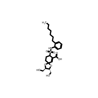 CCCCCCCc1ccccc1NS(=O)(=O)C1CCC2(C=C1C(=O)O)O[C@H](CO)[C@@H](CO)O2